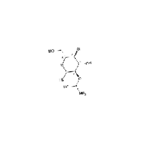 NP(O)O[C@H]1C(S)O[C@H](CO)[C@@H](O)[C@@H]1O